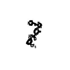 CC1CN(C(=O)Nc2cccc(C(F)(F)F)c2)CCN1c1nccnc1OCc1ccncc1